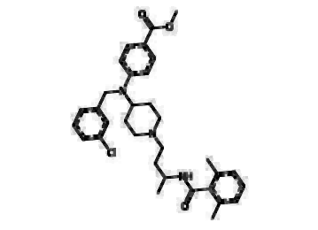 COC(=O)c1ccc(N(Cc2cccc(Cl)c2)C2CCN(CCC(C)NC(=O)c3c(C)cccc3C)CC2)cc1